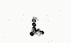 CN1CCN([C@H]2CC[C@H](c3cnc4c(c3)c(-c3csc(C5CCCN5C)n3)cn4S(=O)(=O)c3ccccc3)CC2)CC1